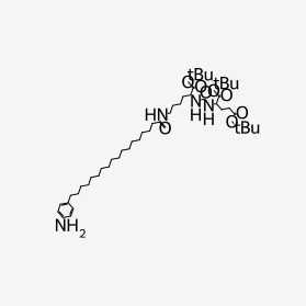 CC(C)(C)OC(=O)CCC(NC(=O)NC(CCCCNC(=O)CCCCCCCCCCCCCCCCCc1ccc(N)cc1)C(=O)OC(C)(C)C)C(=O)OC(C)(C)C